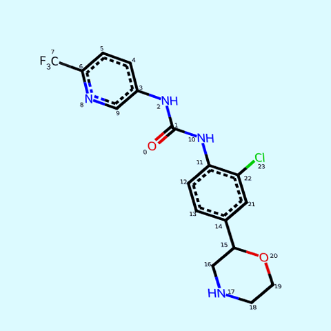 O=C(Nc1ccc(C(F)(F)F)nc1)Nc1ccc(C2CNCCO2)cc1Cl